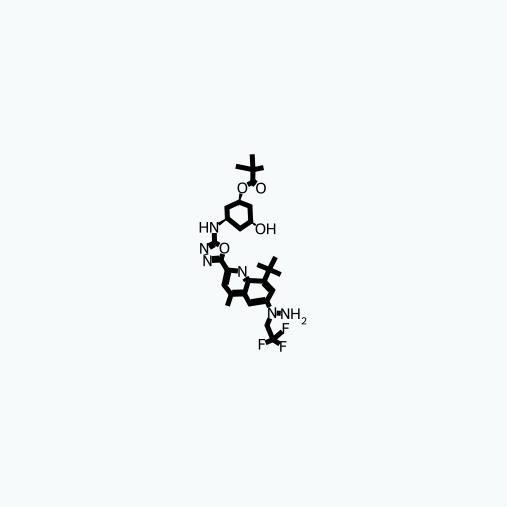 Cc1cc(-c2nnc(N[C@@H]3C[C@@H](O)C[C@H](OC(=O)C(C)(C)C)C3)o2)nc2c(C(C)(C)C)cc(N(N)CC(F)(F)F)cc12